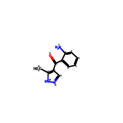 Nc1ccccc1C(=O)c1cn[nH]c1C(=O)O